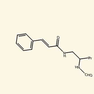 CC(C)C(CNC(=O)/C=C/c1ccccc1)NC=O